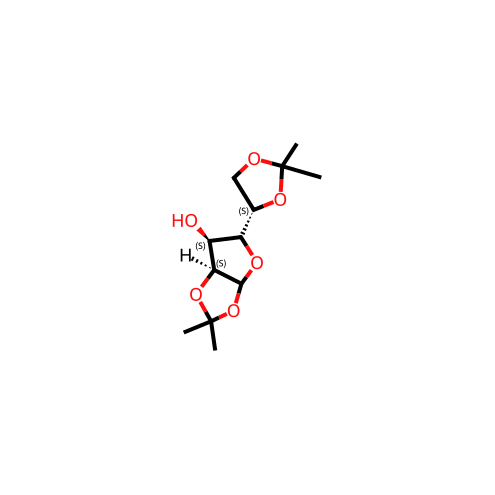 CC1(C)OC[C@@H](C2OC3OC(C)(C)O[C@H]3[C@H]2O)O1